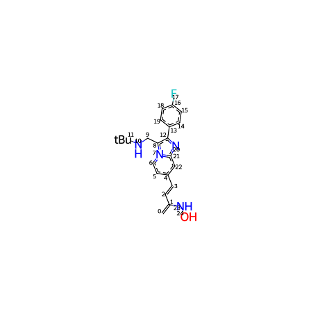 C=C(/C=C/c1ccn2c(CNC(C)(C)C)c(-c3ccc(F)cc3)nc2c1)NO